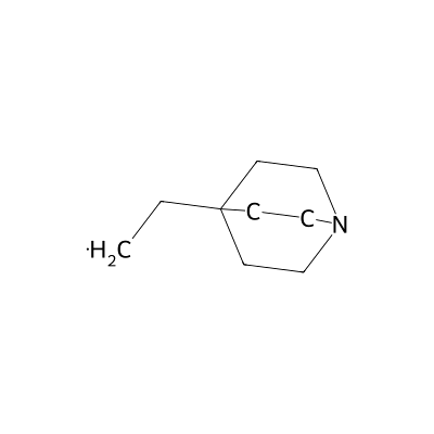 [CH2]CC12CCN(CC1)CC2